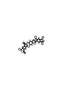 O=c1oc(=O)c2cc3c(=O)n(CC4CCCC(Cn5c(=O)c6cc7c(=O)oc(=O)c7cc6c5=O)C4)c(=O)c3cc12